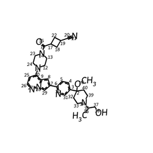 COC1(c2ccc(-c3cc4c(N5CCN(C(=O)C6CC(C#N)C6)CC5)ccnn4c3)nc2)CCN([C@H](C)CO)CC1